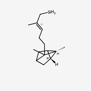 C/C(=C\CCC1(C)C2CC3[C@@H](C2)[C@]31C)C[SiH3]